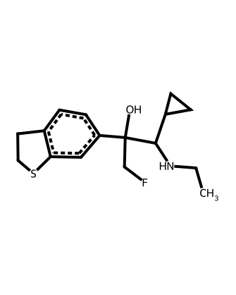 CCNC(C1CC1)C(O)(CF)c1ccc2c(c1)SCC2